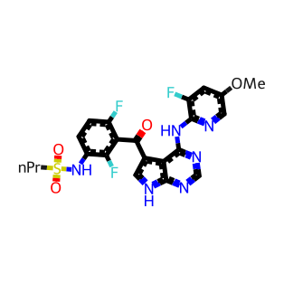 CCCS(=O)(=O)Nc1ccc(F)c(C(=O)c2c[nH]c3ncnc(Nc4ncc(OC)cc4F)c23)c1F